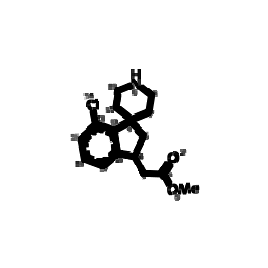 COC(=O)CC1CC2(CCNCC2)c2c(Cl)cccc21